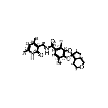 CCC1(C2CCOCC2)Oc2c(Br)cc(C(=O)NCc3c(C)cc(C)[nH]c3=O)c(C)c2O1